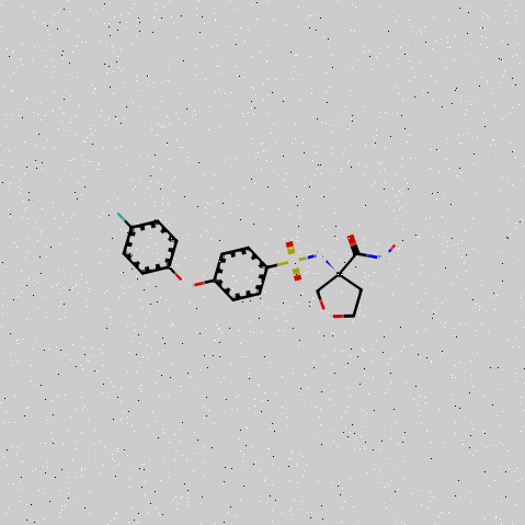 O=C(NO)[C@]1(NS(=O)(=O)c2ccc(Oc3ccc(F)cc3)cc2)CCOC1